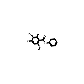 COc1cc(F)c(Br)c(C)c1C(=O)Oc1ccccc1